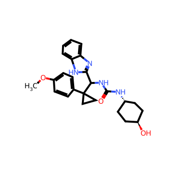 COc1ccc(C2(C(NC(=O)N[C@H]3CC[C@H](O)CC3)c3nc4ccccc4[nH]3)CC2)cc1